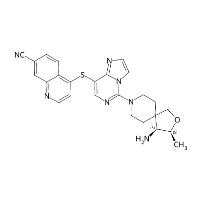 C[C@@H]1OCC2(CCN(c3ncc(Sc4ccnc5cc(C#N)ccc45)c4nccn34)CC2)[C@@H]1N